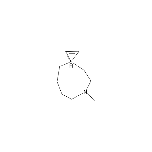 CN1CCCC[SH]2(C)(C=C2)CC1